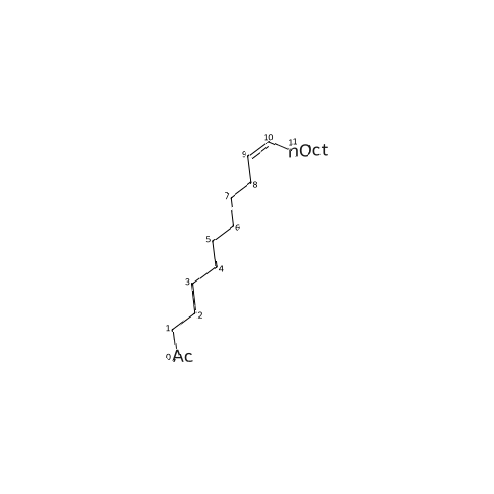 [CH2]C(=O)CCCCCCCC/C=C\CCCCCCCC